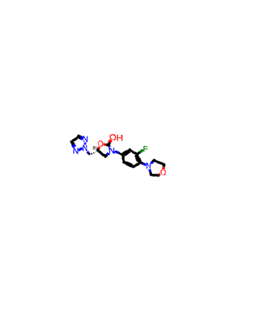 OC1O[C@@H](Cn2nccn2)CN1c1ccc(N2CCOCC2)c(F)c1